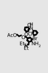 CCN(CC)Cc1cc(C(=O)OCCCOC(C)=O)cc(Br)c1N.Clc1cccc(Cl)c1Nc1ccccc1